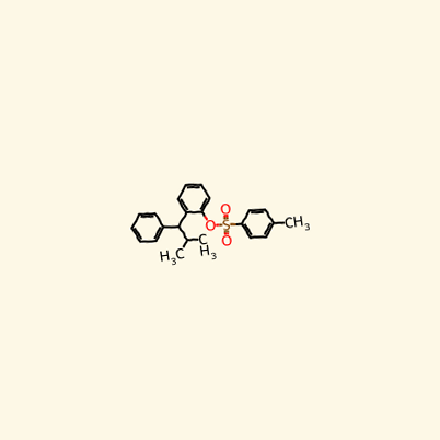 Cc1ccc(S(=O)(=O)Oc2ccccc2C(c2ccccc2)C(C)C)cc1